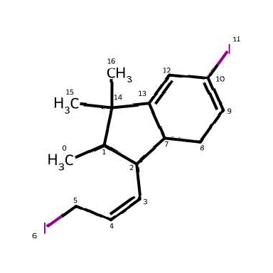 CC1C(/C=C\CI)C2CC=C(I)C=C2C1(C)C